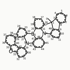 CC1(C)c2ccccc2-c2cccc(N3c4ccccc4B4c5ccccc5N(c5cccc6oc7ccccc7c56)c5cccc3c54)c21